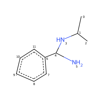 CC(C)NC(N)c1cc[c]cc1